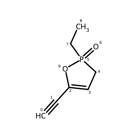 C#CC1=CCP(=O)(CC)O1